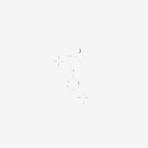 C[C@@H](O[Si](C)(C)C(C)(C)C)[C@H]1C(=O)N[C@@H]1CC(=O)c1cccc(O[Si](C)(C)C(C)(C)C)c1